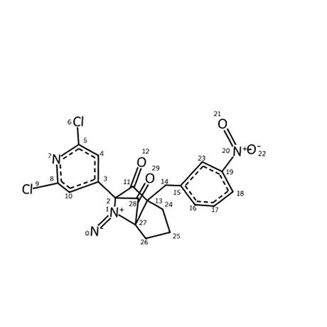 [N-]=[N+]1C2(c3cc(Cl)nc(Cl)c3)C(=O)C3(Cc4cccc([N+](=O)[O-])c4)CCCC13C2=O